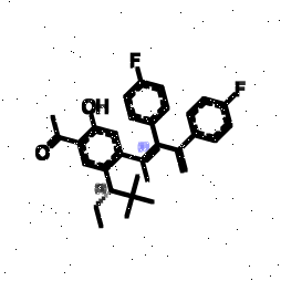 C=C(/C(=C(\C)c1cc(O)c(C(C)=O)cc1[C@@H](CC)C(C)(C)C)c1ccc(F)cc1)c1ccc(F)cc1